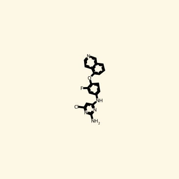 Nc1nc(Cl)cc(Nc2ccc(Oc3cccc4cnccc34)c(F)c2)n1